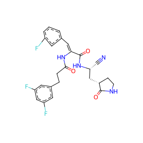 N#C[C@H](C[C@@H]1CCNC1=O)NC(=O)C(=Cc1cccc(F)c1)NC(=O)CCc1cc(F)cc(F)c1